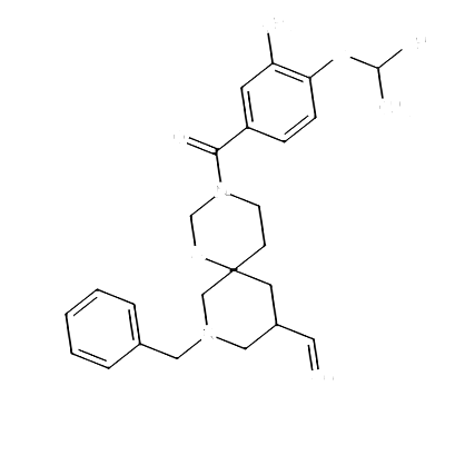 C=CC1CN(Cc2ccccc2)CC2(CCN(C(=O)c3ccc(OC(C)C)c(C)c3)CO2)C1